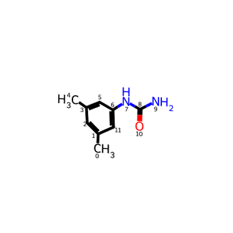 Cc1cc(C)cc(NC(N)=O)c1